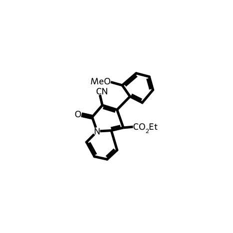 CCOC(=O)c1c(-c2ccccc2OC)c(C#N)c(=O)n2ccccc12